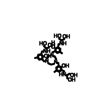 Cc1cc(CNC(CO)CO)c(O)c(CN2CCCN(Cc3cc(C)cc(CNC(CO)CO)c3O)CCN(Cc3cc(C)cc(CNC(CO)CO)c3O)CC2)c1